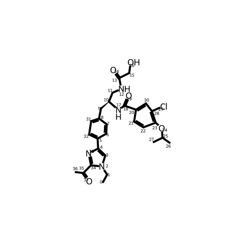 CCn1cc(-c2ccc(C[C@@H](CNC(=O)CO)NC(=O)c3ccc(OC(C)C)c(Cl)c3)cc2)nc1C(C)=O